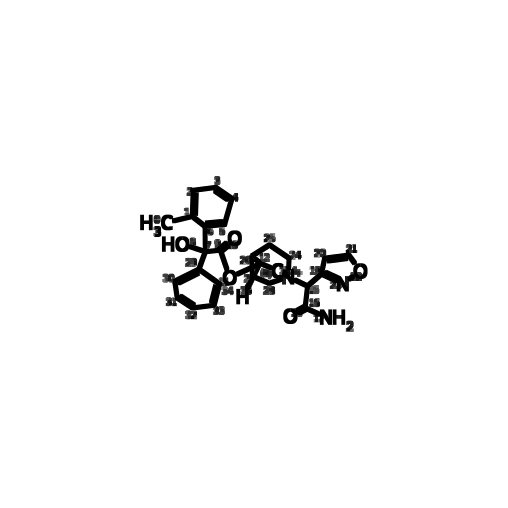 Cc1ccccc1C(O)(C(=O)O[C@H]1C[N+]2(C(C(N)=O)c3ccon3)CCC1CC2)c1ccccc1